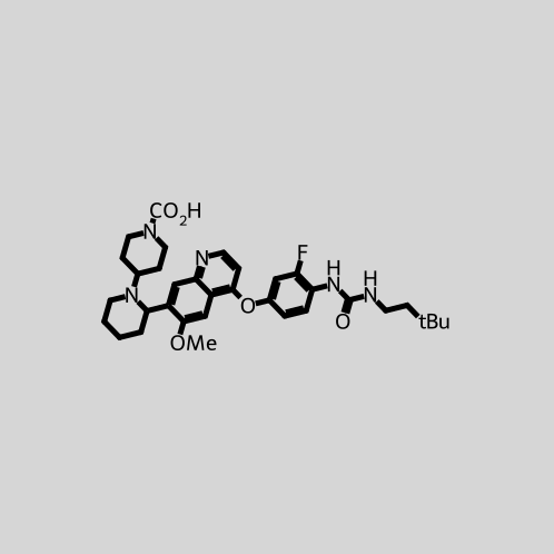 COc1cc2c(Oc3ccc(NC(=O)NCCC(C)(C)C)c(F)c3)ccnc2cc1C1CCCCN1C1CCN(C(=O)O)CC1